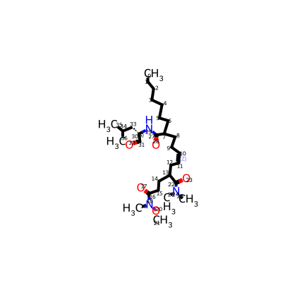 CCCCCCCC(CC/C=C\CC(CCC(=O)N(C)OC)C(=O)N(C)C)C(=O)N[C@H](C=O)CC(C)C